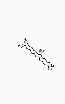 CCCCCCCCCCC[CH2][Na].CCCCCCCCCCC[CH2][Na].[Na].[Na]